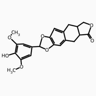 COc1cc(C2Oc3cc4c(cc3O2)CC2C(=O)OCC2C4)cc(OC)c1O